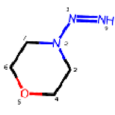 N=NN1CCOCC1